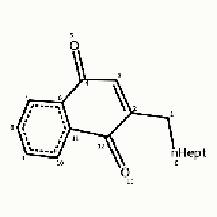 CCCCCCCCC1=CC(=O)c2ccccc2C1=O